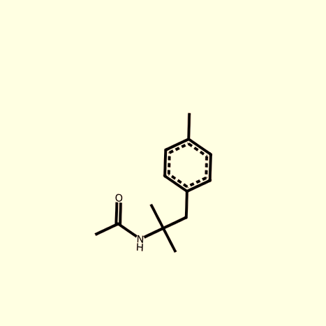 CC(=O)NC(C)(C)Cc1ccc(C)cc1